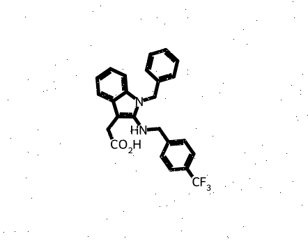 O=C(O)Cc1c(NCc2ccc(C(F)(F)F)cc2)n(Cc2ccccc2)c2ccccc12